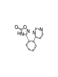 O=c1[nH]c(-c2ccccc2-c2ccncn2)no1